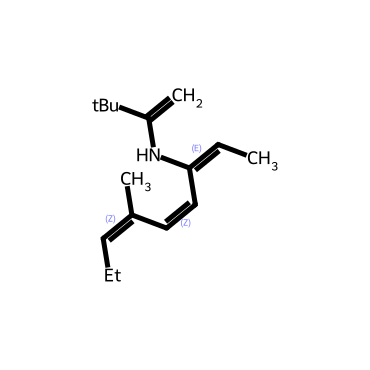 C=C(NC(/C=C\C(C)=C/CC)=C/C)C(C)(C)C